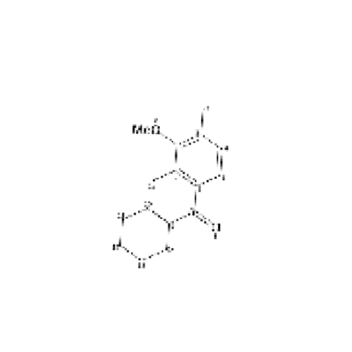 COc1c(C)ccc(C(=O)C2CCCCC2)c1C